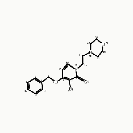 O=c1c(Br)c(OCc2ccccc2)ccn1CCN1CCOCC1